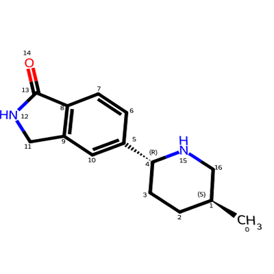 C[C@H]1CC[C@H](c2ccc3c(c2)CNC3=O)NC1